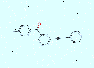 Cc1ccc(C(=O)c2cccc(C#Cc3ccccc3)c2)cc1